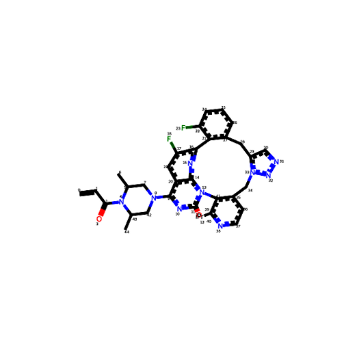 C=CC(=O)N1C(C)CN(c2nc(=O)n3c4nc(c(F)cc24)-c2c(F)cccc2Cc2cnnn2Cc2ccnc(C(C)C)c2-3)CC1C